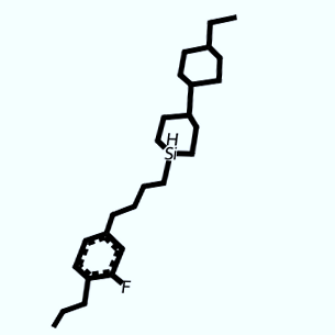 CCCc1ccc(CCCC[SiH]2CCC(C3CCC(CC)CC3)CC2)cc1F